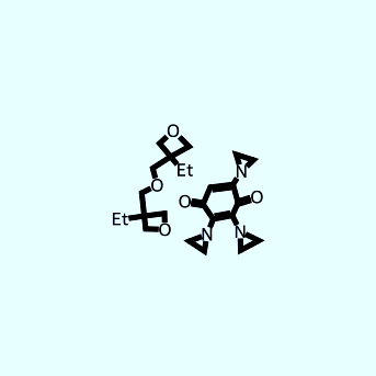 CCC1(COCC2(CC)COC2)COC1.O=C1C=C(N2CC2)C(=O)C(N2CC2)=C1N1CC1